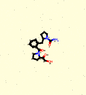 NC(=O)N1CCCC1Cc1ccccc1C(=O)N1CCCC1C(=O)CO